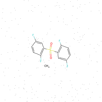 C.O=S(=O)(c1cc(F)ccc1F)c1cc(F)ccc1F